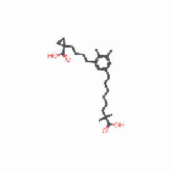 Cc1cc(CCCCCCC(C)(C)C(=O)O)cc(CCCCC2(C(=O)O)CC2)c1C